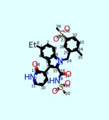 CCc1ccc2c(c1)c(-c1ccc[nH]c1=O)c(C(=O)NS(C)(=O)=O)n2Cc1cc(S(C)(=O)=O)ccc1C